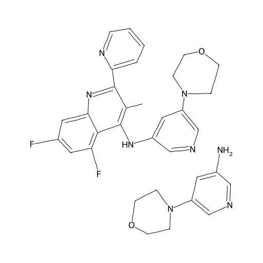 Cc1c(-c2ccccn2)nc2cc(F)cc(F)c2c1Nc1cncc(N2CCOCC2)c1.Nc1cncc(N2CCOCC2)c1